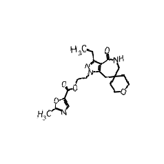 CCc1nn(CCOC(=O)c2cnc(C)o2)c2c1C(=O)NCC1(CCOCC1)C2